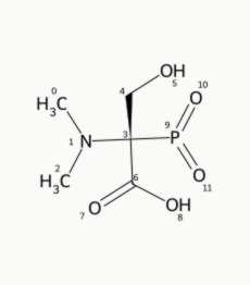 CN(C)[C@@](CO)(C(=O)O)P(=O)=O